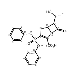 C[C@@H](O)C1C(=O)N2C(C(=O)O)=C(P(=O)(Oc3ccccc3)Oc3ccccc3)CC12